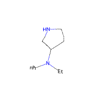 CCCN(CC)C1CCNC1